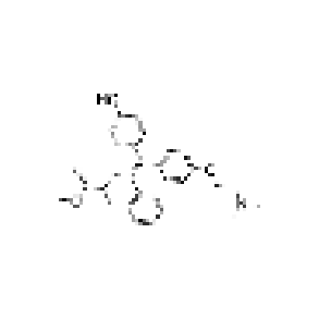 COC(=O)C(C)C/C(=C(\c1ccc(O)cc1)c1ccc(OCCN(C)C)cc1)c1ccccc1